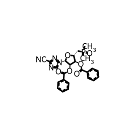 CP(C)(=O)C[C@H]1O[C@@H](n2cnc(C#N)n2)[C@H](OC(=O)c2ccccc2)[C@@H]1OC(=O)c1ccccc1